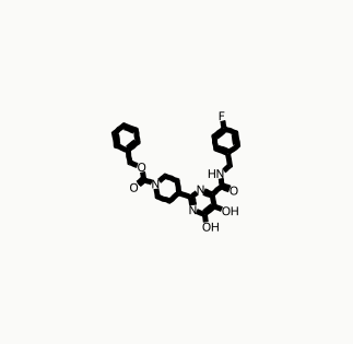 O=C(NCc1ccc(F)cc1)c1nc(C2CCN(C(=O)OCc3ccccc3)CC2)nc(O)c1O